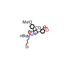 CCCCN(CCCCBr)C(=O)CN1C[C@H](c2ccc3c(c2)OCO3)[C@@H](C(=O)O)[C@@]1(CC)c1ccc(OC)cc1